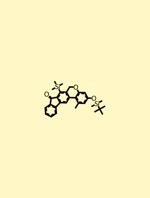 Cc1cc(O[Si](C)(C)C(C)(C)C)cc2c1-c1cc3c(c([Si](C)(C)C)c1CO2)C(=O)c1ccccc1-3